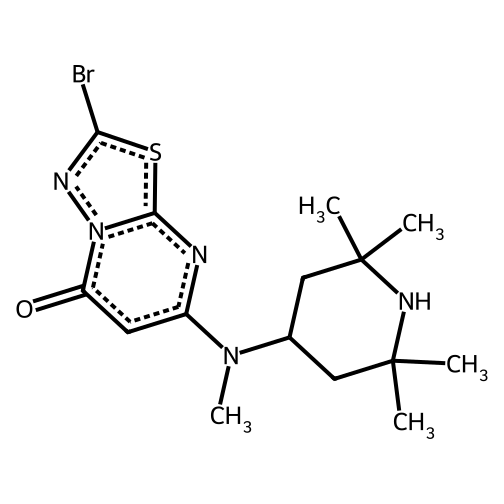 CN(c1cc(=O)n2nc(Br)sc2n1)C1CC(C)(C)NC(C)(C)C1